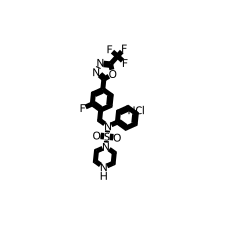 Cl.O=S(=O)(N1CCNCC1)N(Cc1ccc(-c2nnc(C(F)(F)F)o2)cc1F)c1ccccc1